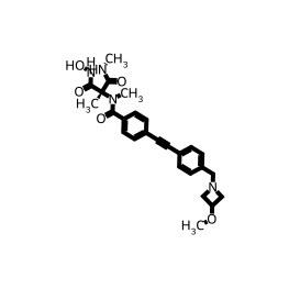 CNC(=O)[C@@](C)(C(=O)NO)N(C)C(=O)c1ccc(C#Cc2ccc(CN3CC(OC)C3)cc2)cc1